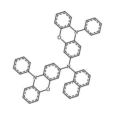 c1ccc(N2c3ccccc3Oc3cc(N(c4ccc5c(c4)Oc4ccccc4N5c4ccccc4)c4cccc5ccccc45)ccc32)cc1